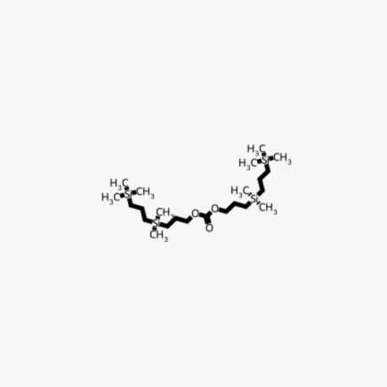 C[Si](C)(C)CCC[Si](C)(C)CCCOC(=O)OCCC[Si](C)(C)CCC[Si](C)(C)C